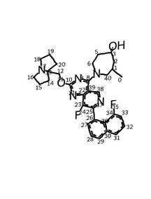 CC1CC(O)CCN(c2nc(OCC34CCCN3CCC4)nc3c(F)c(-c4cccc5cccc(F)c45)ncc23)C1